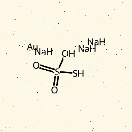 O=S(=O)(O)S.[Au].[NaH].[NaH].[NaH]